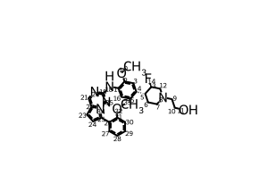 COc1cc([C@H]2CCN(CCO)C[C@@H]2F)ccc1Nc1ncc2ccc(-c3ccccc3OC)n2n1